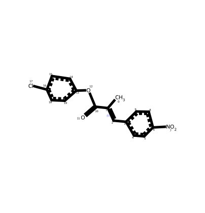 C/C(=C\c1ccc([N+](=O)[O-])cc1)C(=O)Oc1ccc(Cl)cc1